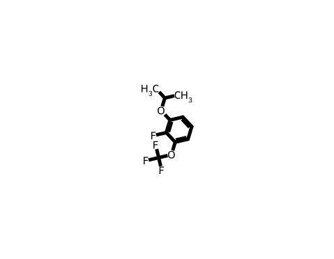 CC(C)Oc1cccc(OC(F)(F)F)c1F